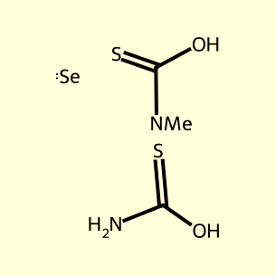 CNC(O)=S.NC(O)=S.[Se]